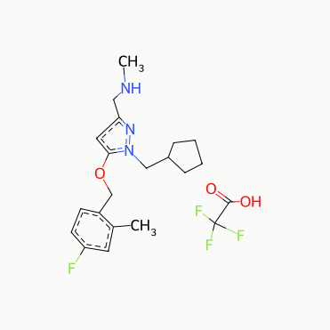 CNCc1cc(OCc2ccc(F)cc2C)n(CC2CCCC2)n1.O=C(O)C(F)(F)F